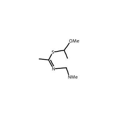 CNC/N=C(/C)SC(C)OC